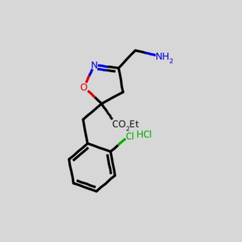 CCOC(=O)C1(Cc2ccccc2Cl)CC(CN)=NO1.Cl